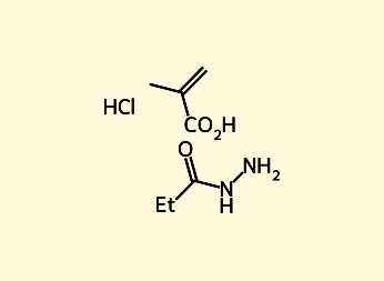 C=C(C)C(=O)O.CCC(=O)NN.Cl